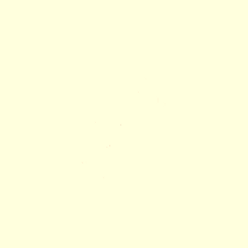 CC(C)=CCOC1COC1